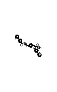 O=C(NCCOc1ccc(CC(Oc2ccc(-c3ccccn3)cc2)C(=O)O)cc1)c1ccc(-c2ccccn2)cc1